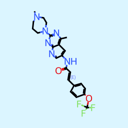 Cc1nc(N2CCCN(C)CC2)nc2ncc(NC(=O)/C=C/c3ccc(OC(F)(F)F)cc3)cc12